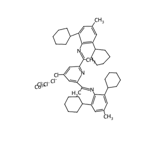 CC(=Nc1c(C2CCCCC2)cc(C)cc1C1CCCCC1)c1cc(Cl)cc(C(C)=Nc2c(C3CCCCC3)cc(C)cc2C2CCCCC2)n1.[Cl-].[Cl-].[Cl-].[Co+3]